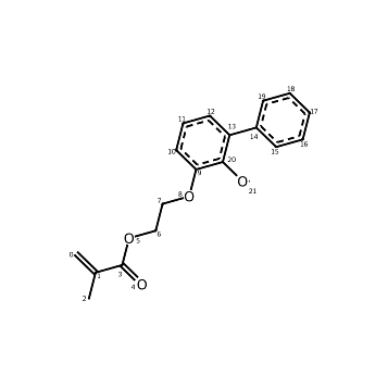 C=C(C)C(=O)OCCOc1cccc(-c2ccccc2)c1[O]